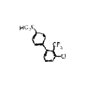 O=C(O)c1ccc(-c2cccc(Cl)c2C(F)(F)F)cc1